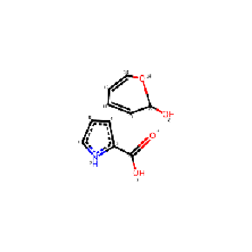 O=C(O)c1ccc[nH]1.OC1C=CC=CO1